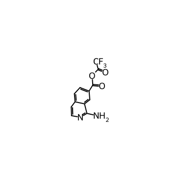 Nc1nccc2ccc(C(=O)OC(=O)C(F)(F)F)cc12